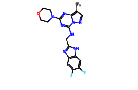 Fc1cc2nc(CNc3nc(N4CCOCC4)nc4c(C(F)(F)F)cnn34)[nH]c2cc1F